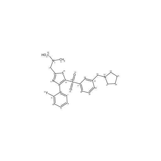 CN(Cc1nc(-c2ccccc2F)c(S(=O)(=O)c2cccc(CN3CCCC3)c2)s1)C(=O)O